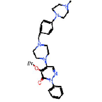 CC(C)Oc1c(N2CCN(Cc3ccc(N4CCN(C)CC4)cc3)CC2)cnn(-c2ccccc2)c1=O